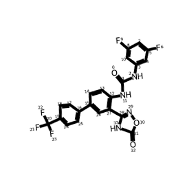 O=C(Nc1cc(F)cc(F)c1)Nc1ccc(-c2ccc(C(F)(F)F)cc2)cc1-c1noc(=O)[nH]1